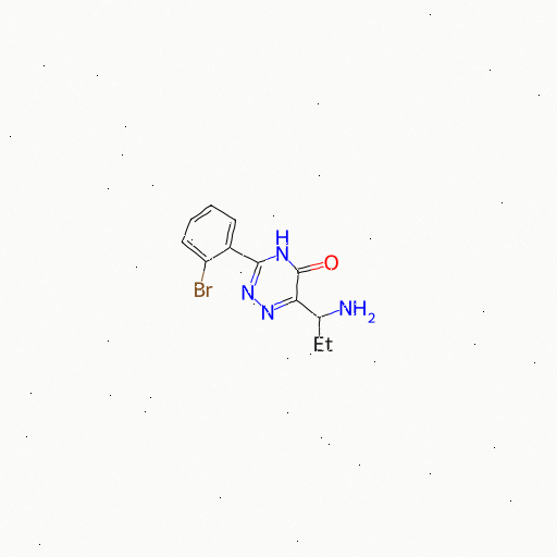 CCC(N)c1nnc(-c2ccccc2Br)[nH]c1=O